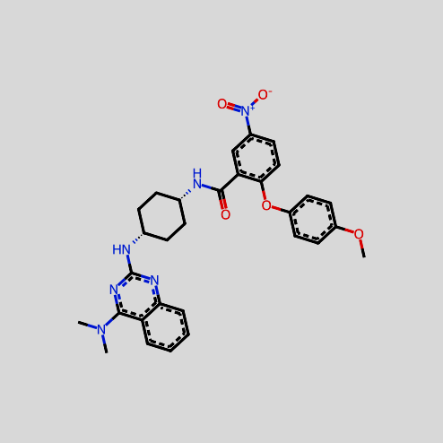 COc1ccc(Oc2ccc([N+](=O)[O-])cc2C(=O)N[C@H]2CC[C@@H](Nc3nc(N(C)C)c4ccccc4n3)CC2)cc1